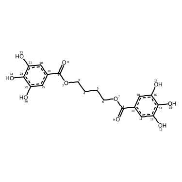 O=C(OCCCCOC(=O)c1cc(O)c(O)c(O)c1)c1cc(O)c(O)c(O)c1